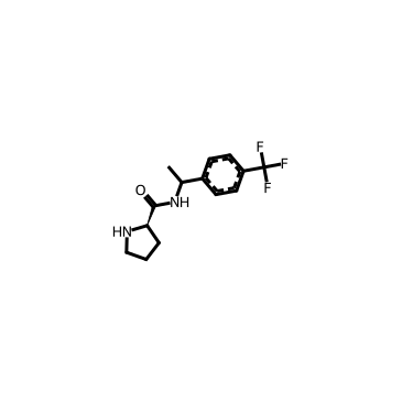 CC(NC(=O)[C@H]1CCCN1)c1ccc(C(F)(F)F)cc1